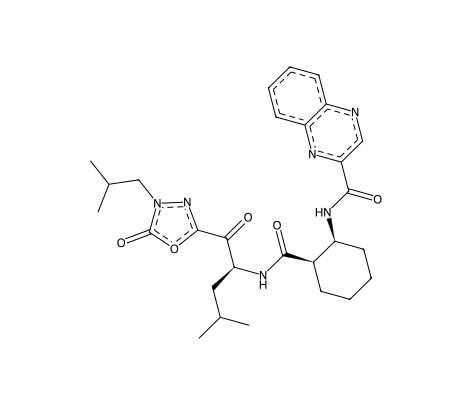 CC(C)C[C@H](NC(=O)[C@@H]1CCCC[C@@H]1NC(=O)c1cnc2ccccc2n1)C(=O)c1nn(CC(C)C)c(=O)o1